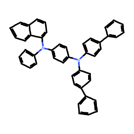 c1ccc(-c2ccc(N(c3ccc(-c4ccccc4)cc3)c3ccc(N(c4ccccc4)c4cccc5ccccc45)cc3)cc2)cc1